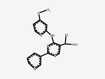 CCCCCCCCC(CC)c1cnc(-c2cccnc2)nc1Nc1cc(OC(F)(F)F)ccn1